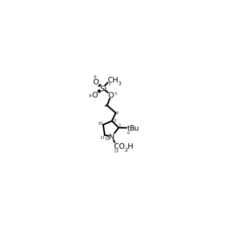 CC(C)(C)C1C(CCOS(C)(=O)=O)CCN1C(=O)O